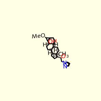 COC1C2[C@@H]3CC[C@@H]4[C@H](CC[C@]5(C)[C@@H](C(=O)Cn6cccn6)CC[C@@H]45)[C@H]3CC[C@]12O